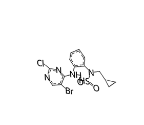 O=[SH](=O)N(CC1CC1)c1ccccc1Nc1nc(Cl)ncc1Br